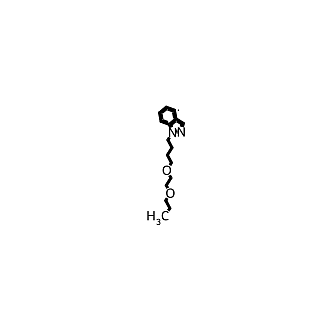 CCCOCCOCCCCn1ncc2[c]cccc21